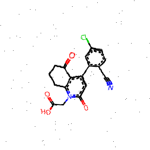 N#Cc1ccc(Cl)cc1-c1cc(=O)n(CC(=O)O)c2c1C(=O)CCC2